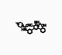 CN1CCN(C(=O)Nc2cccc(-c3cc(-c4ccccc4O)nc(N)c3C#N)c2)CC1